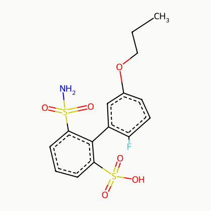 CCCOc1ccc(F)c(-c2c(S(N)(=O)=O)cccc2S(=O)(=O)O)c1